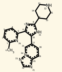 Cc1cccc(-c2nc(C3CCNCC3)[nH]c2-c2ccc3ncnn3c2)n1